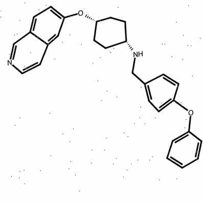 c1ccc(Oc2ccc(CN[C@H]3CC[C@@H](Oc4ccc5cnccc5c4)CC3)cc2)cc1